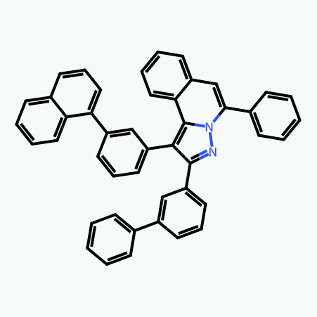 c1ccc(-c2cccc(-c3nn4c(-c5ccccc5)cc5ccccc5c4c3-c3cccc(-c4cccc5ccccc45)c3)c2)cc1